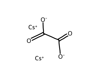 O=C([O-])C(=O)[O-].[Cs+].[Cs+]